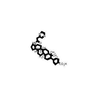 CC1(C)C(c2ccc(C(=O)O)cc2)=CC[C@@]2(C)C1CC[C@]1(C)C2CC[C@@H]2C3CCC[C@]3(NC(=O)Cc3cnccn3)CC[C@]21C